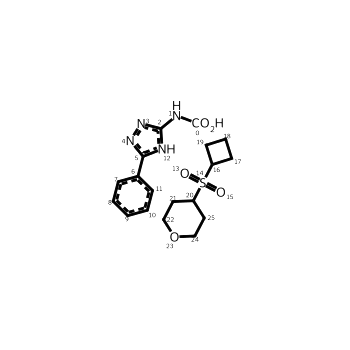 O=C(O)Nc1nnc(-c2ccccc2)[nH]1.O=S(=O)(C1CCC1)C1CCOCC1